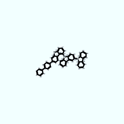 c1ccc(-c2ccc(-c3ccc4c(c3)sc3cccc(-n5c6ccccc6c6cc(-n7c8ccccc8c8ccccc87)ccc65)c34)cc2)cc1